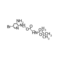 CC(C)(C)OC(=O)NCCC(=O)OCCNc1ncc(Br)cc1N